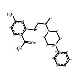 CC(CNc1cc(N)ccc1C(N)=O)N1CCN(c2ccccc2)CC1